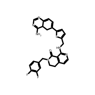 NC1=NC=NC2=CC=C(c3ccc(CNc4nccc5c4C(=O)N(Cc4ccc(F)c(F)c4)CC5)s3)CC21